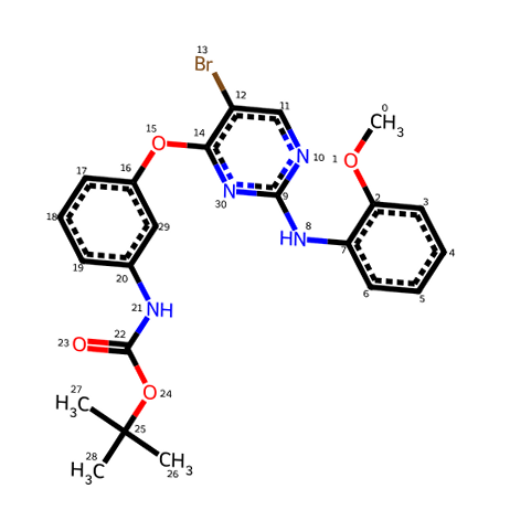 COc1ccccc1Nc1ncc(Br)c(Oc2cccc(NC(=O)OC(C)(C)C)c2)n1